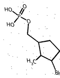 BC1CCC(COP(=O)(O)O)C1C